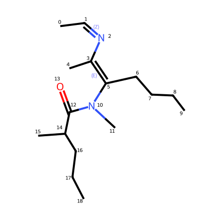 C/C=N\C(C)=C(/CCCC)N(C)C(=O)C(C)CCC